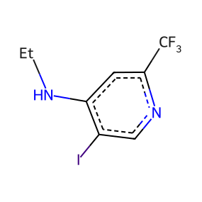 CCNc1cc(C(F)(F)F)ncc1I